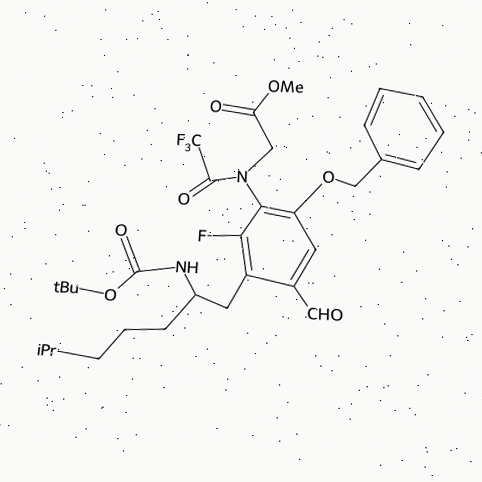 COC(=O)CN(C(=O)C(F)(F)F)c1c(OCc2ccccc2)cc(C=O)c(CC(CCCC(C)C)NC(=O)OC(C)(C)C)c1F